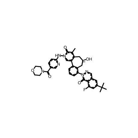 Cc1c2c(cn(Nc3ccc(C(=O)N4CCOCC4)cn3)c1=O)-c1cccc(-n3ncc4cc(C(C)(C)C)cc(F)c4c3=O)c1C[C@H](O)C2